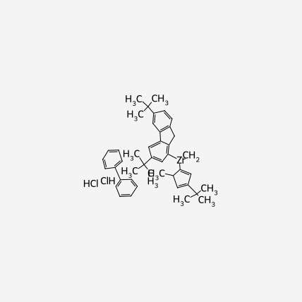 Cl.Cl.[CH2]=[Zr]([C]1=CC(C(C)(C)C)=CC1C)[c]1cc(C(C)(C)C)cc2c1Cc1ccc(C(C)(C)C)cc1-2.c1ccc(-c2ccccc2)cc1